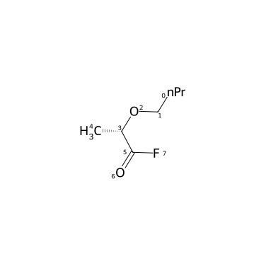 CCCCO[C@@H](C)C(=O)F